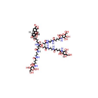 C[C@]12CCC3=C(COC3=O)C1C[C@@H]1O[C@@]13[C@H](OC(=O)CCC(=O)NC(CCC(=O)NCCCNC(=O)CCCC(=O)N[C@@H]1[C@@H](O)[C@H](O)C(CO)O[C@H]1O)(COCCC(=O)NCCCNC(=O)CCCC(=O)N[C@@H]1[C@@H](O)[C@H](O)C(CO)O[C@H]1O)COCCC(=O)NCCCNC(=O)CCCC(=O)N[C@@H]1[C@@H](O)[C@H](O)C(CO)O[C@H]1O)[C@H]1O[C@H]1C[C@]32O